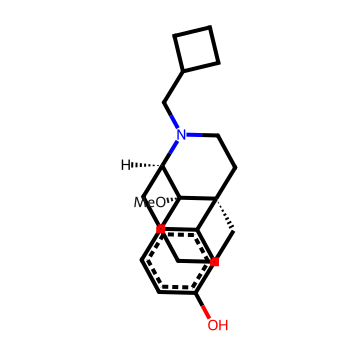 CO[C@@]12CCCC[C@@]13CCN(CC1CCC1)[C@@H]2Cc1ccc(O)cc13